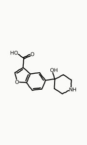 O=C(O)c1coc2ccc(C3(O)CCNCC3)cc12